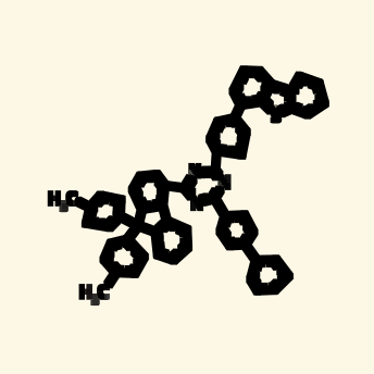 Cc1ccc(C2(c3ccc(C)cc3)c3ccccc3-c3c(-c4nc(-c5ccc(-c6ccccc6)cc5)nc(-c5ccc(-c6cccc7c6sc6ccccc67)cc5)n4)cccc32)cc1